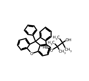 CC(C)(O)C(C)(C)OBc1ccccc1C1(c2ccccc2)c2ccccc2Oc2ccccc21